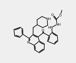 COC(=O)NNc1ccccc1C(=O)c1c(CC2CCNCC2)c(-c2ccccc2)nc2ccccc12